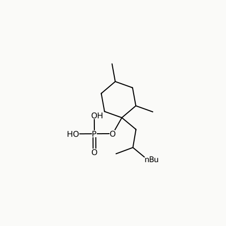 CCCCC(C)CC1(OP(=O)(O)O)CCC(C)CC1C